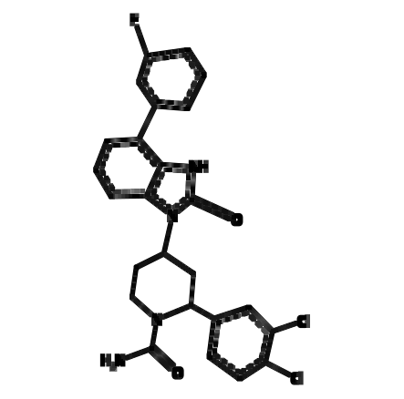 NC(=O)N1CCC(n2c(=O)[nH]c3c(-c4cccc(F)c4)cccc32)CC1c1ccc(Cl)c(Cl)c1